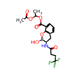 CC(=O)OC(C)OC(=O)c1cccc2c1OB(O)C(NC(=O)CCC(F)(F)F)C2